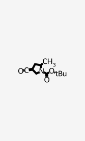 CC1CC(=C=O)CN1C(=O)OC(C)(C)C